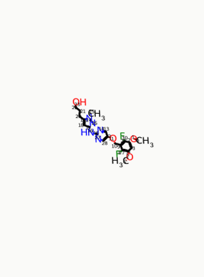 COc1cc(OC)c(F)c(COc2cnc(Nc3cc(CCCO)n(C)n3)nc2)c1F